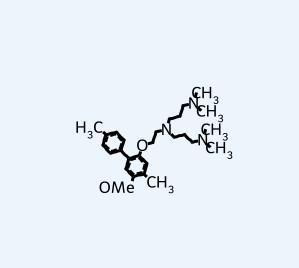 COc1cc(-c2ccc(C)cc2)c(OCCN(CCCN(C)C)CCCN(C)C)cc1C